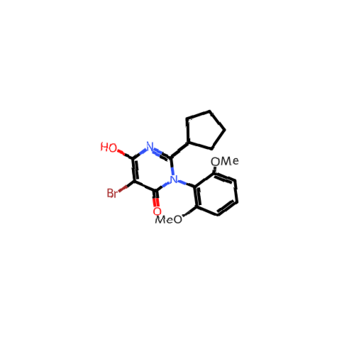 COc1cccc(OC)c1-n1c(C2CCCC2)nc(O)c(Br)c1=O